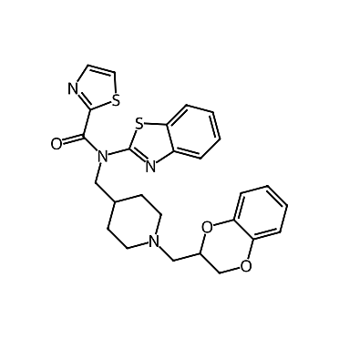 O=C(c1nccs1)N(CC1CCN(CC2COc3ccccc3O2)CC1)c1nc2ccccc2s1